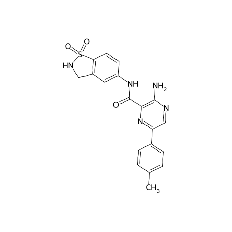 Cc1ccc(-c2cnc(N)c(C(=O)Nc3ccc4c(c3)CNS4(=O)=O)n2)cc1